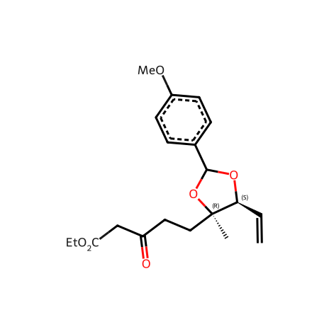 C=C[C@@H]1OC(c2ccc(OC)cc2)O[C@]1(C)CCC(=O)CC(=O)OCC